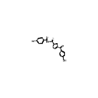 N#Cc1ccc(C(=O)NC(=O)c2cc(C(=O)c3ccc(C#N)cc3)c[nH]2)cc1